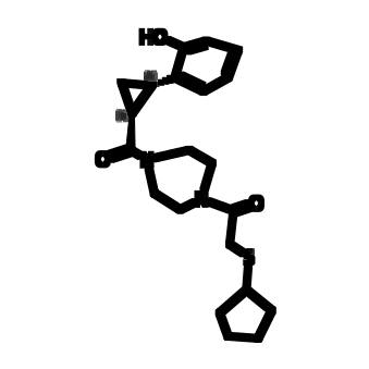 O=C(CSC1CCCC1)N1CCN(C(=O)[C@H]2C[C@@H]2c2ccccc2O)CC1